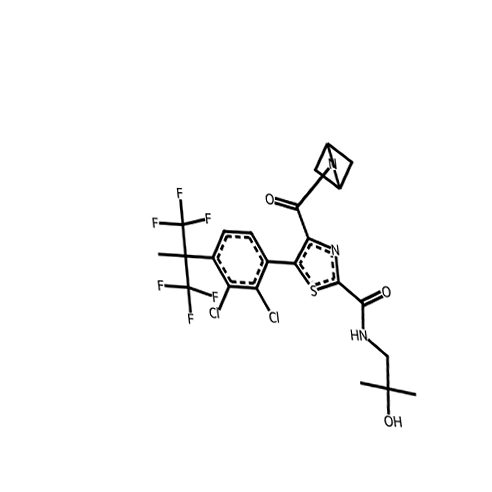 CC(C)(O)CNC(=O)c1nc(C(=O)N2CC3CC2C3)c(-c2ccc(C(C)(C(F)(F)F)C(F)(F)F)c(Cl)c2Cl)s1